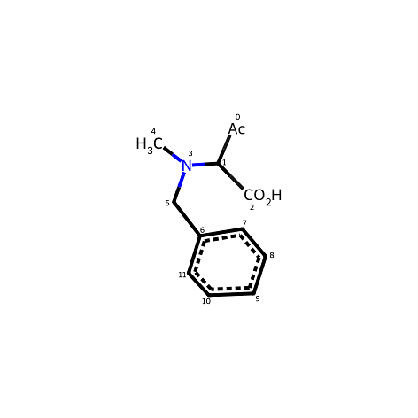 CC(=O)C(C(=O)O)N(C)Cc1ccccc1